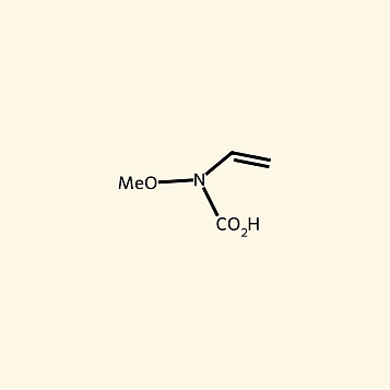 C=CN(OC)C(=O)O